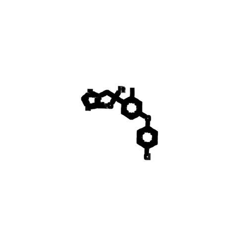 CCC(Cn1cncn1)(OC)c1ccc(Oc2ccc(Cl)cc2)cc1C